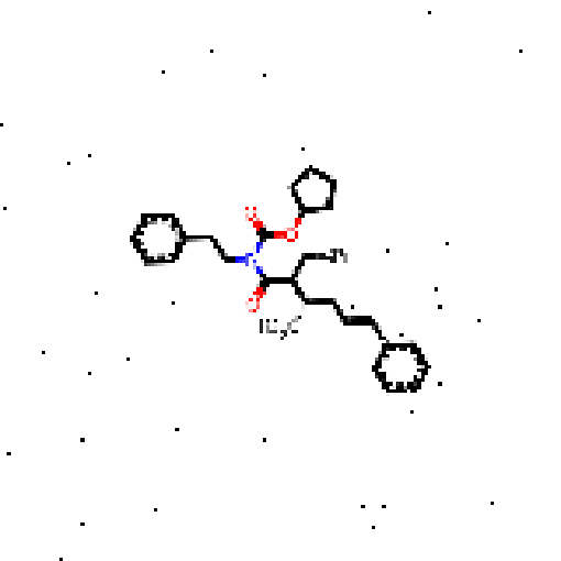 CC(C)CC(C(=O)N(CCc1ccccc1)C(=O)OC1CCCC1)[C@H](C/C=C/c1ccccc1)C(=O)O